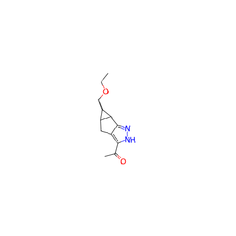 CCOCC1C2Cc3c(n[nH]c3C(C)=O)C12